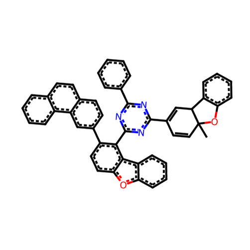 CC12C=CC(c3nc(-c4ccccc4)nc(-c4c(-c5ccc6ccc7ccccc7c6c5)ccc5oc6ccccc6c45)n3)=CC1c1ccccc1O2